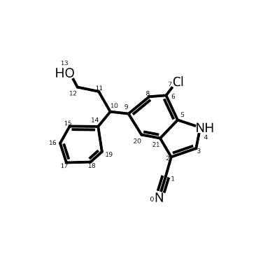 N#Cc1c[nH]c2c(Cl)cc(C(CCO)c3ccccc3)cc12